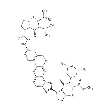 COC(=O)N[C@H](C(=O)N1[C@@H](C)CC[C@H]1c1nc2ccc3cc4c(cc3c2[nH]1)OCc1cc(-c2cnc([C@@H]3CC[C@H](C)N3C(=O)[C@@H](NC(=O)O)C(C)C)[nH]2)ccc1-4)C1C[C@@H](C)O[C@@H](C)C1